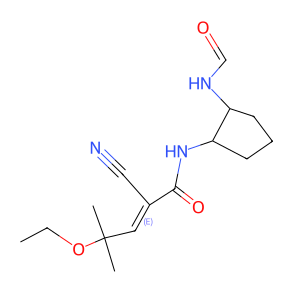 CCOC(C)(C)/C=C(\C#N)C(=O)NC1CCCC1NC=O